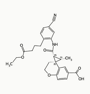 CCOC(=O)CCCc1ccc(C#N)cc1NC(=O)[C@@H]1[C@H](C)[C@]12CCOc1ccc(C(=O)O)cc12